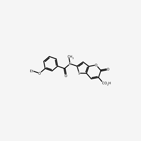 CCOc1cccc(C(=O)N(C)c2cc3oc(=O)c(C(=O)O)cc3s2)c1